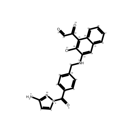 Nc1ccn(C(=O)c2ccc(CNc3cc4ccccc4c(C(=O)C=O)c3Cl)cc2)n1